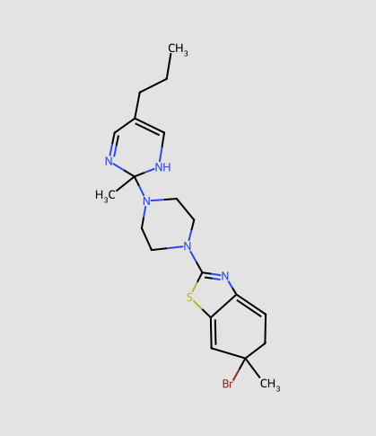 CCCC1=CNC(C)(N2CCN(c3nc4c(s3)=CC(C)(Br)CC=4)CC2)N=C1